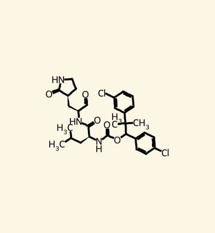 CC(C)C[C@H](NC(=O)OC(c1ccc(Cl)cc1)C(C)(C)c1cccc(Cl)c1)C(=O)N[C@H](C=O)C[C@@H]1CCNC1=O